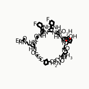 CCC(=O)NCCCC[C@@H]1NC(=O)CCSCc2cccc(c2)CSC[C@H](C(N)=O)NC(=O)[C@]2(C)CCCN2C(=O)[C@H](Cc2ccc(O)cc2)NC(=O)[C@H](Cc2cnc[nH]2)NC(=O)[C@H](CC(=O)O)NC(=O)[C@H](Cc2c[nH]c3ccc(F)cc23)NC(=O)[C@H](Cc2c[nH]c3ccc(F)cc23)NC(=O)CNC1=O